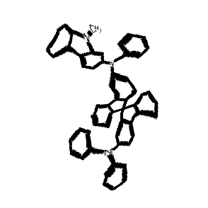 Cn1c2ccccc2c2ccc(N(c3ccccc3)c3ccc4c(c3)-c3ccccc3C43c4ccccc4-c4ccc(N(c5ccccc5)c5ccccc5)cc43)cc21